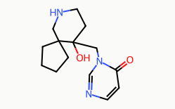 O=c1ccncn1CC1(O)CCNCC12CCCC2